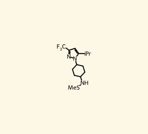 CSNC1CCC(n2nc(C(F)(F)F)cc2C(C)C)CC1